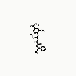 Cc1cc(C(N)=O)cc(C)c1CC(N)CNC(=O)N[C@H](c1ccccc1)C1CC1